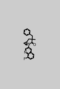 CC(Cc1ccccc1)(CC1CC1)C(=O)Nc1cnc2c(F)cccc2c1